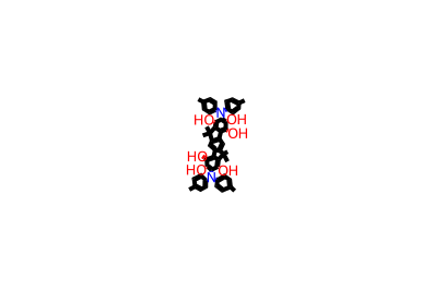 Cc1ccc(N(c2ccc(C)cc2)c2c(O)c(O)c3c(c2O)C(C)(C)c2cc4c(cc2-3)C(C)(C)c2c(O)c(N(c3ccc(C)cc3)c3ccc(C)cc3)c(O)c(O)c2-4)cc1